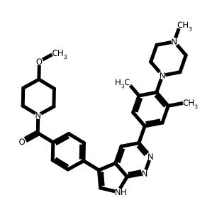 COC1CCN(C(=O)c2ccc(-c3c[nH]c4nnc(-c5cc(C)c(N6CCN(C)CC6)c(C)c5)cc34)cc2)CC1